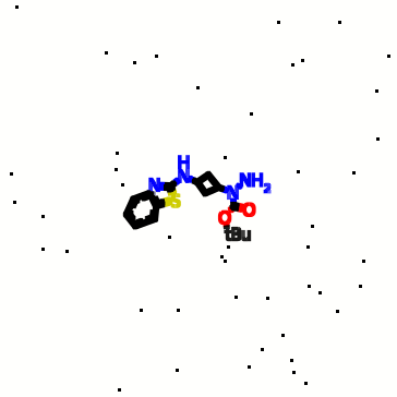 CC(C)(C)OC(=O)N(N)C1CC(Nc2nc3ccccc3s2)C1